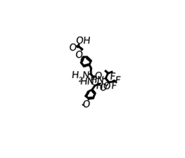 COc1ccc([C@H](NC(=O)[C@@H](N)Cc2ccc(OCC(=O)O)cc2)C(=O)N[C@@H](C(C)C)[C@H](O)C(F)(F)F)cc1